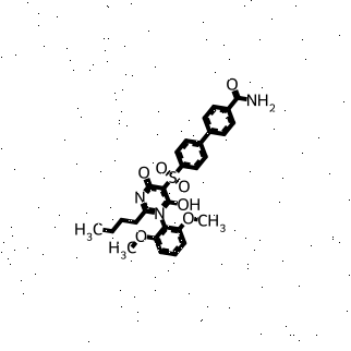 CCCCc1nc(=O)c(S(=O)(=O)c2ccc(-c3ccc(C(N)=O)cc3)cc2)c(O)n1-c1c(OC)cccc1OC